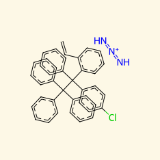 C=Cc1ccccc1C(c1ccccc1)(c1ccc(Cl)cc1)C(c1ccccc1)(c1ccccc1)c1ccccc1.N=[N+]=N